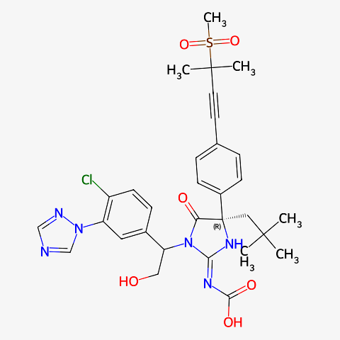 CC(C)(C)C[C@]1(c2ccc(C#CC(C)(C)S(C)(=O)=O)cc2)NC(=NC(=O)O)N(C(CO)c2ccc(Cl)c(-n3cncn3)c2)C1=O